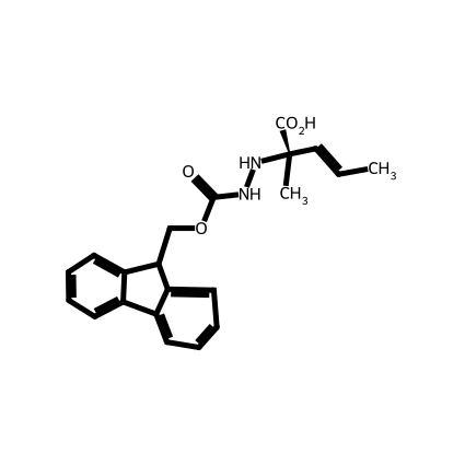 CC=C[C@](C)(NNC(=O)OCC1c2ccccc2-c2ccccc21)C(=O)O